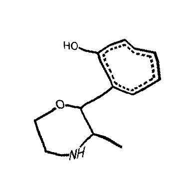 CC1NCCOC1c1ccccc1O